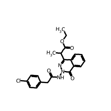 CCOC(=O)C(C)c1nn(NC(=O)Cc2ccc(Cl)cc2)c(=O)c2ccccc12